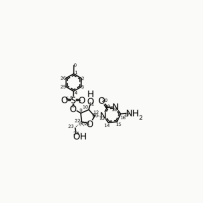 Cc1ccc(S(=O)(=O)OC2C(O)[C@H](n3ccc(N)nc3=O)O[C@@H]2CO)cc1